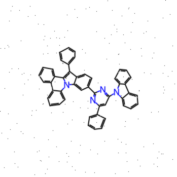 c1ccc(-c2cc(-n3c4ccccc4c4ccccc43)nc(-c3ccc4c(-c5ccccc5)c5c6ccccc6c6ccccc6n5c4c3)n2)cc1